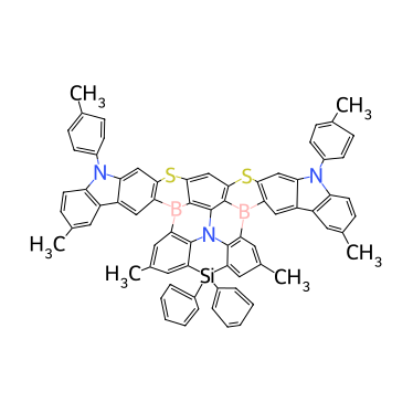 Cc1ccc(-n2c3ccc(C)cc3c3cc4c(cc32)Sc2cc3c5c6c2B4c2cc(C)cc4c2N6c2c(cc(C)cc2[Si]4(c2ccccc2)c2ccccc2)B5c2cc4c5cc(C)ccc5n(-c5ccc(C)cc5)c4cc2S3)cc1